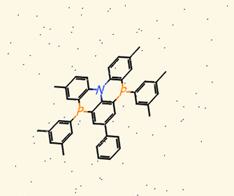 Cc1cc(C)cc(P2c3cc(C)ccc3N3c4ccc(C)cc4P(c4cc(C)cc(C)c4)c4cc(-c5ccccc5)cc2c43)c1